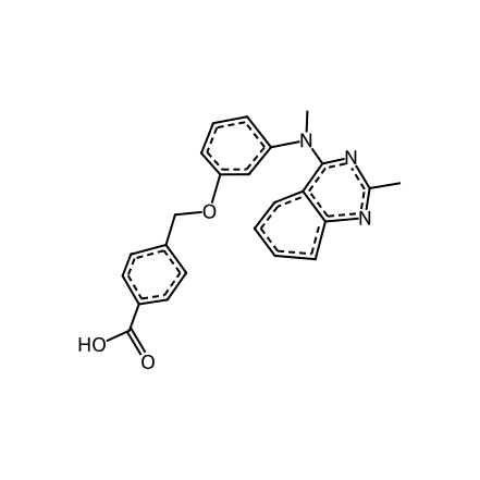 Cc1nc(N(C)c2cccc(OCc3ccc(C(=O)O)cc3)c2)c2ccccc2n1